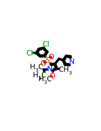 COc1c(C)c(Cc2ccncc2)c(S(=O)(=O)c2cc(Cl)cc(Cl)c2)n1C(C)C